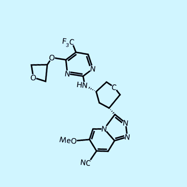 COc1cn2c([C@H]3CCC[C@@H](Nc4ncc(C(F)(F)F)c(OC5COC5)n4)C3)nnc2cc1C#N